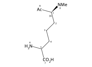 CN[C@@H](CCCC(N)C(=O)O)C(C)=O